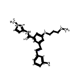 COCCCOc1cc(/C=C/c2cccc(Cl)c2)cc(C(=O)Nc2ccn(C)n2)c1